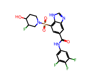 O=C(Nc1cc(F)c(F)c(F)c1)c1cc(S(=O)(=O)N2CCC(O)C(F)C2)c2[nH]cnc2c1